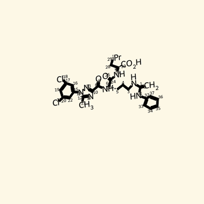 C=C(NCCC[C@H](NC(=O)c1nc(C)n(-c2cc(Cl)cc(Cl)c2)n1)C(=O)N[C@H](CC(C)C)C(=O)O)Nc1ccccc1